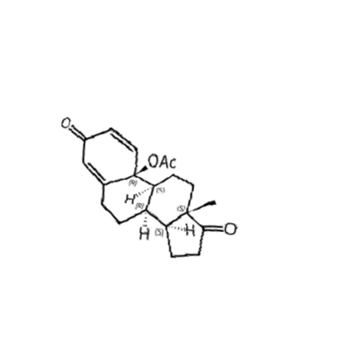 CC(=O)O[C@]12C=CC(=O)C=C1CC[C@@H]1[C@@H]3CCC(=O)[C@@]3(C)CC[C@@H]12